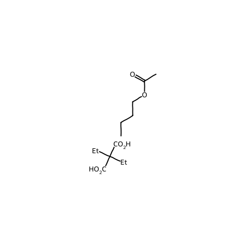 CCC(CC)(C(=O)O)C(=O)O.CCCCOC(C)=O